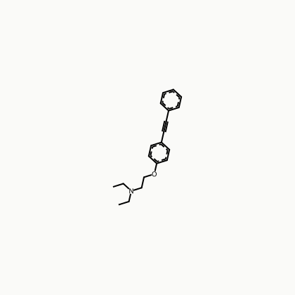 CCN(CC)CCOc1ccc(C#Cc2ccccc2)cc1